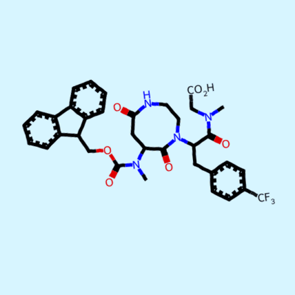 CN(CC(=O)O)C(=O)C(Cc1ccc(C(F)(F)F)cc1)N1CCNC(=O)CC(N(C)C(=O)OCC2c3ccccc3-c3ccccc32)C1=O